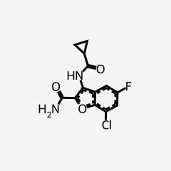 NC(=O)c1oc2c(Cl)cc(F)cc2c1NC(=O)C1CC1